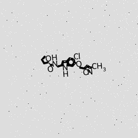 Cc1cc(COc2cc3[nH]c(CNC(=O)[C@H]4CCCO4)cc3cc2Cl)on1